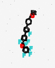 CCOCC1CCC(c2ccc(-c3ccc(C(F)(F)Oc4cc(F)c(F)c(F)c4)c(F)c3)c(F)c2)CC1